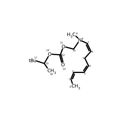 C/C=C\C=C/C/C=C\N(C)COC(=O)OC(C)C(C)(C)C